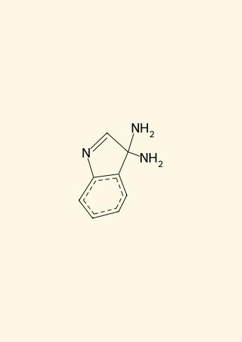 NC1(N)C=Nc2ccccc21